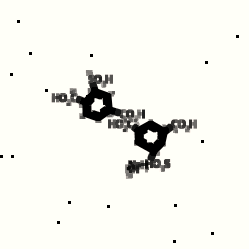 O=C(O)c1cc(C(=O)O)cc(S(=O)(=O)O)c1.O=C(O)c1ccc(C(=O)O)c(S(=O)(=O)O)c1.[KH].[NaH]